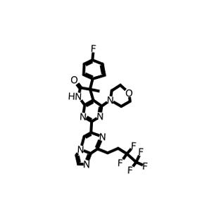 CC1(c2ccc(F)cc2)C(=O)Nc2nc(-c3cn4ccnc4c(CCC(F)(F)C(F)(F)F)n3)nc(N3CCOCC3)c21